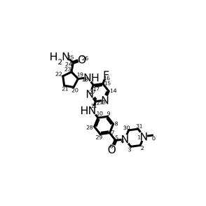 CN1CCN(C(=O)c2ccc(Nc3ncc(F)c(NC4CCCC4C(N)=O)n3)cc2)CC1